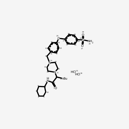 CCCCC(C(=O)NC1CCCCC1)N1CCN(Cc2ccc(Oc3ccc(S(N)(=O)=O)cc3)cc2)CC1.Cl.Cl